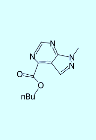 CCCCOC(=O)c1ncnc2c1cnn2C